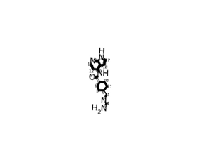 NC=NC[C@H]1CC[C@H](C(=O)Nc2ccnc3[nH]ccc23)CC1